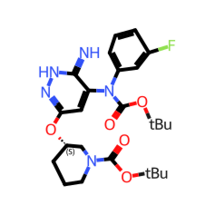 CC(C)(C)OC(=O)N1CCC[C@H](Oc2cc(N(C(=O)OC(C)(C)C)c3cccc(F)c3)c(=N)[nH]n2)C1